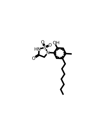 CCCCCCCc1cc(N2CC(=O)NS2(=O)=O)c(O)cc1C